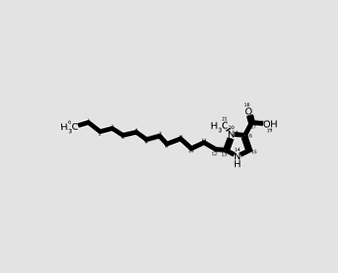 CCCCCCCCCCCCCc1[nH]cc(C(=O)O)[n+]1C